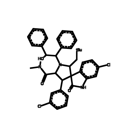 CN(C)C(=O)C1C(c2cccc(Cl)c2)C2(C(=O)Nc3cc(Cl)ccc32)C(CC(C)(C)C)N1C(c1ccccc1)C(O)c1ccccc1